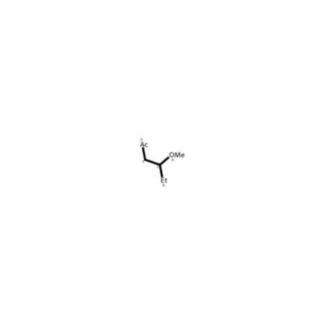 CCC(CC(C)=O)OC